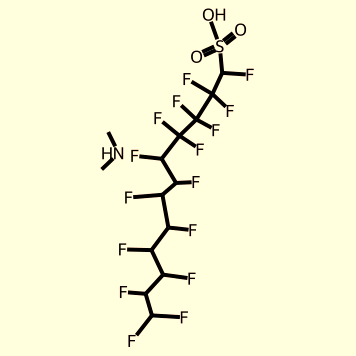 CNC.O=S(=O)(O)C(F)C(F)(F)C(F)(F)C(F)(F)C(F)C(F)C(F)C(F)C(F)C(F)C(F)C(F)F